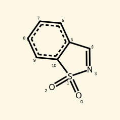 O=S1(=O)N=[C]c2cc[c]cc21